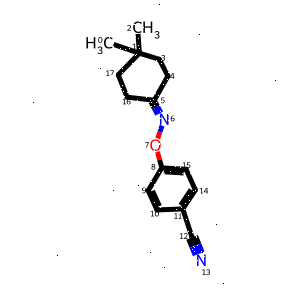 CC1(C)CCC(=NOc2ccc(C#N)cc2)CC1